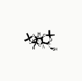 CC1(C)O[C@H]2O[C@H]3[C@H](OC(C)(C)O[C@@H]3CS)[C@H]2O1